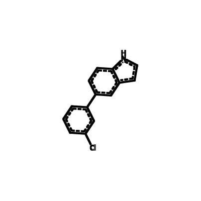 Clc1cccc(-c2ccc3[nH]ccc3c2)c1